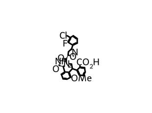 COc1cccc2c1C(c1ccccc1C(=O)O)CN(C(=O)[C@H]1CC(c3cccc(Cl)c3F)=NO1)[C@@H]2C(N)=O